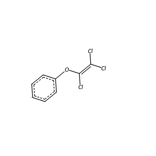 ClC(Cl)=C(Cl)Oc1cc[c]cc1